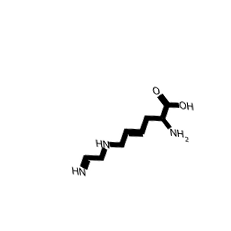 N=CCNC/C=C/CC(N)C(=O)O